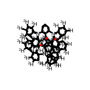 [2H]c1c([2H])c([2H])c2c(c1[2H])c1c([2H])c([2H])c([2H])c([2H])c1n2-c1nc(-c2c(-n3c4c([2H])c([2H])c([2H])c([2H])c4c4c([2H])c([2H])c([2H])c([2H])c43)cccc2-n2c3c([2H])c([2H])c([2H])c([2H])c3c3c([2H])c([2H])c([2H])c([2H])c32)nc(-n2c3c([2H])c([2H])c([2H])c([2H])c3c3c([2H])c([2H])c([2H])c(-n4c5c([2H])c([2H])c([2H])c([2H])c5c5c([2H])c([2H])c([2H])c([2H])c54)c32)n1